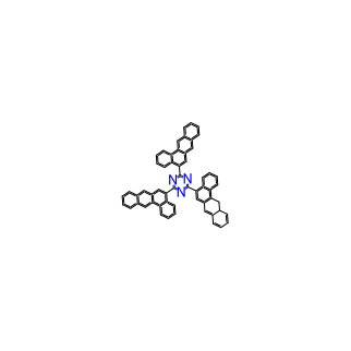 C1=CC2=Cc3cc(-c4nc(-c5cc6cc7ccccc7cc6c6ccccc56)nc(-c5cc6cc7ccccc7cc6c6ccccc56)n4)c4ccccc4c3CC2C=C1